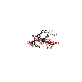 CC(C)(C)c1cc(CCC(=O)O)cc(C(C)(C)C)c1O.CC(C)(C)c1cc(CCC(=O)O)cc(C(C)(C)C)c1O.CC(C)(C)c1cc(CCC(=O)O)cc(C(C)(C)C)c1O.CCCCCCC(O)=S.OCC(CO)(CO)CO